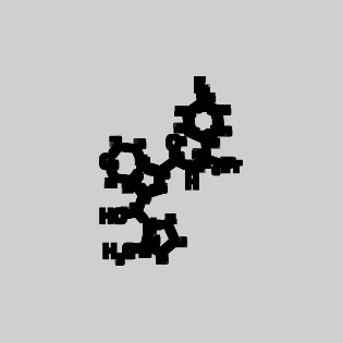 CC(C)[C@@H](NC(=O)c1cc(C(O)N2CCC[C@@H]2C)c2n1CCOC2)c1ccc(F)cc1